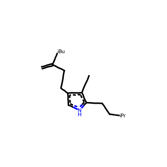 C=C(CCc1c[nH]c(CCC(C)C)c1C)C(C)CC